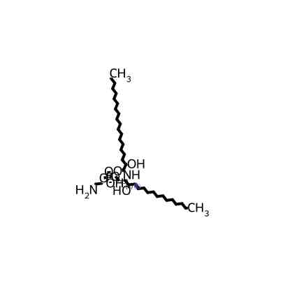 CCCCCCCCCCC/C=C/[C@@H](O)[C@H](COP(=O)(O)OCCN)NC(=O)C(O)CCCCCCCCCCCCCCCCCC